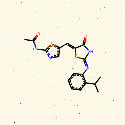 CC(=O)Nc1ncc(/C=C2\S/C(=N\c3ccccc3C(C)C)NC2=O)s1